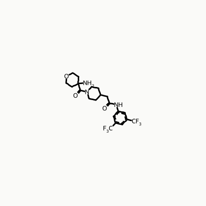 NC1(C(=O)N2CCC(CC(=O)Nc3cc(C(F)(F)F)cc(C(F)(F)F)c3)CC2)CCOCC1